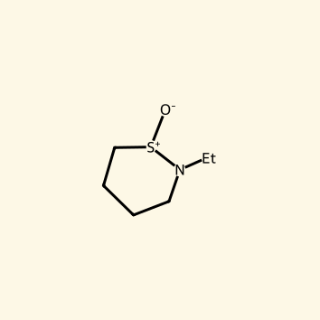 CCN1CCCC[S+]1[O-]